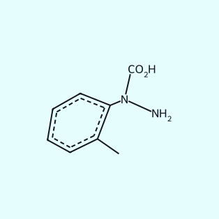 Cc1ccccc1N(N)C(=O)O